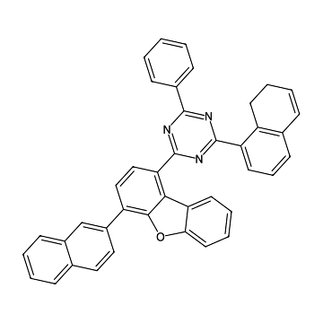 C1=Cc2cccc(-c3nc(-c4ccccc4)nc(-c4ccc(-c5ccc6ccccc6c5)c5oc6ccccc6c45)n3)c2CC1